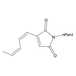 C/C=C\C=C/C1=CC(=O)N(CCCCC)C1=O